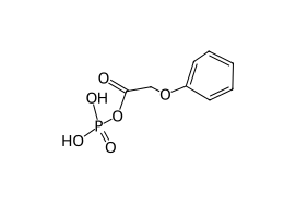 O=C(COc1ccccc1)OP(=O)(O)O